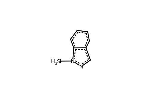 [SiH3]n1ncc2ccccc21